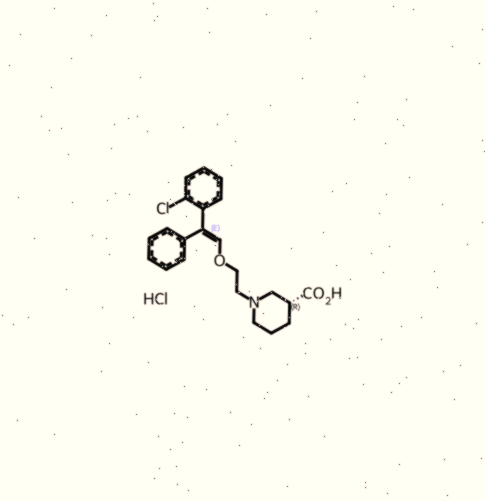 Cl.O=C(O)[C@@H]1CCCN(CCO/C=C(\c2ccccc2)c2ccccc2Cl)C1